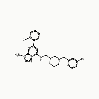 Bc1cnn2c(NCC3CCCN(Cc4cccc(Br)c4)C3)cc(-c3ccccc3Cl)nc12